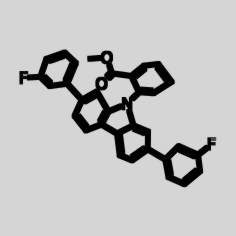 COC(=O)c1ccccc1-n1c2cc(-c3cccc(F)c3)ccc2c2ccc(-c3cccc(F)c3)cc21